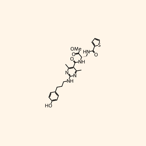 COC(=O)[C@H](CNC(=O)c1cccs1)NC(=O)c1c(C)nc(NCCCc2ccc(O)cc2)nc1C